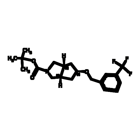 CC(C)(C)OC(=O)N1C[C@H]2C[C@H](OCc3cccc(C(F)(F)F)c3)C[C@H]2C1